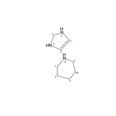 C1=CNCN1.C1CCNCC1